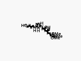 CO[Si](CCCC(=O)CC(O)CNc1nnc(NCCCCO)[nH]1)(OC)OC